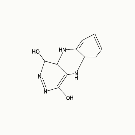 OC1=C2NC3CC=CC=C3NC2C(O)N=N1